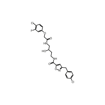 O=C(COc1ccc(Cl)c(F)c1)NCC(O)CCNC(=O)c1cc(Cc2ccc(Cl)cc2)no1